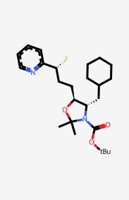 CC(C)(C)OC(=O)N1[C@@H](CC2CCCCC2)[C@H](CC[C@@H](F)c2ccccn2)OC1(C)C